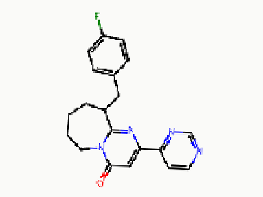 O=c1cc(-c2ccncn2)nc2n1CCCCC2Cc1ccc(F)cc1